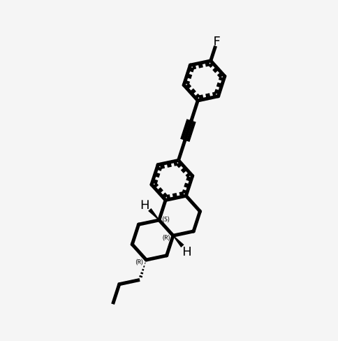 CCC[C@@H]1CC[C@@H]2c3ccc(C#Cc4ccc(F)cc4)cc3CC[C@@H]2C1